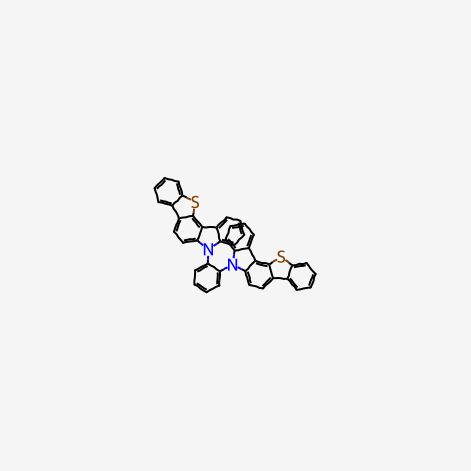 c1ccc(-n2c3ccccc3c3c4sc5ccccc5c4ccc32)c(-n2c3ccccc3c3c4sc5ccccc5c4ccc32)c1